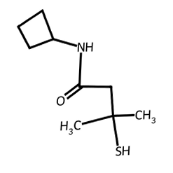 CC(C)(S)CC(=O)NC1CCC1